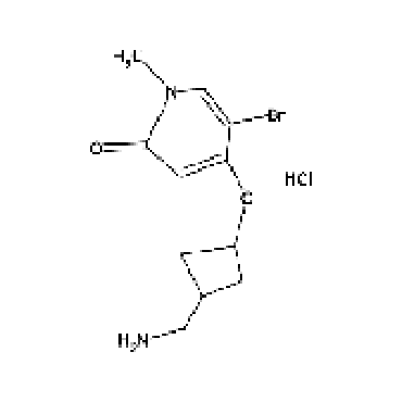 Cl.Cn1cc(Br)c(OC2CC(CN)C2)cc1=O